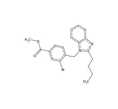 CCCCc1nc2ccccc2n1Cc1ccc(C(=O)OC)cc1Br